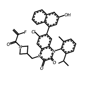 C=C(F)C(=O)N1CC(Cn2c(=O)c(=O)n(-c3c(C)cccc3C(C)C)c3cc(-c4cc(O)cc5ccccc45)c(Cl)cc32)C1